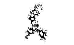 N#Cc1cnc(NCc2ccc(-c3cnc(N)cn3)cc2)c(C(=N)NCc2ccc(F)c(F)c2)c1